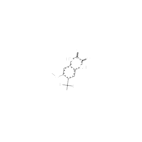 COc1cc2[nH]c(=O)c(=O)[nH]c2cc1C(F)(F)F